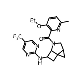 CCOc1ccc(C)nc1C(=O)N1CC2CC23CC(Nc2ncc(C(F)(F)F)cn2)C13